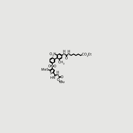 CCOC(=O)CCCCCNC(=O)Nc1cc(C)c(-c2cccc(S(=O)(=O)c3cc(C(=N)NC(=O)OC(C)(C)C)sc3SC)c2)c([N+](=O)[O-])c1